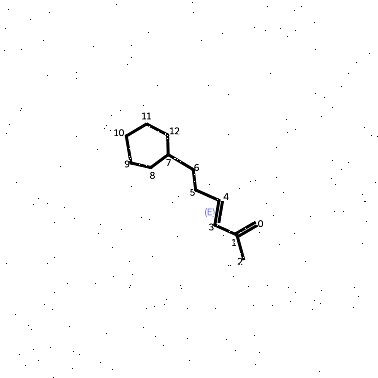 C=C(C)/C=C/CCC1CCCCC1